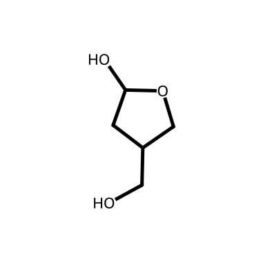 OCC1COC(O)C1